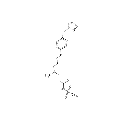 CN(CCCOc1ccc(Cc2cccs2)cc1)CCC(=O)NS(C)(=O)=O